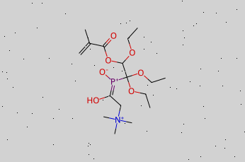 C=C(C)C(=O)OC(OCC)C(OCC)(OCC)/[P+]([O-])=C(/O)C[N+](C)(C)C